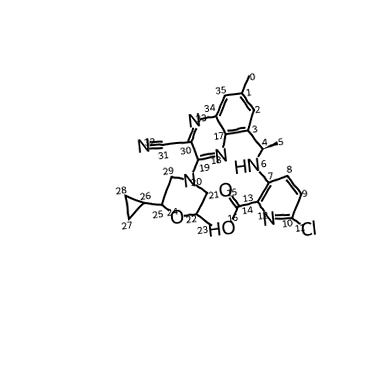 Cc1cc([C@@H](C)Nc2ccc(Cl)nc2C(=O)O)c2nc(N3CC(C)OC(C4CC4)C3)c(C#N)nc2c1